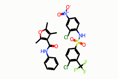 Cc1oc(C)c(C(=O)Nc2ccccc2)c1C.O=[N+]([O-])c1ccc(NS(=O)(=O)c2ccc(Cl)c(C(F)(F)F)c2)c(Cl)c1